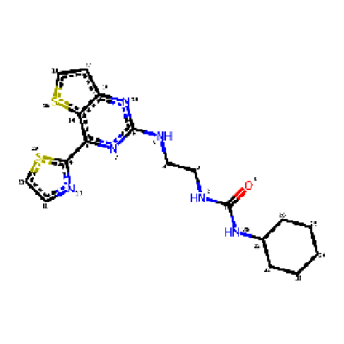 O=C(NCCNc1nc(-c2nccs2)c2sccc2n1)NC1CCCCC1